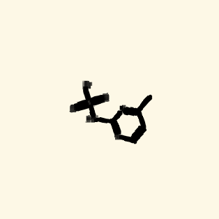 Cc1ccnc(NS(=O)(=O)C(C)C)n1